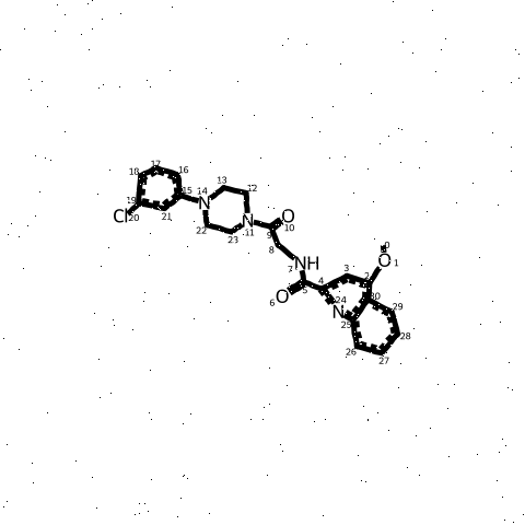 COc1cc(C(=O)NCC(=O)N2CCN(c3cccc(Cl)c3)CC2)nc2ccccc12